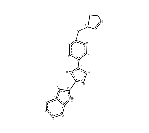 C1=NCCN1Cc1ccc(-c2ccc(-c3nc4ccccc4[nH]3)o2)cc1